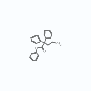 O=C(Oc1ccccc1)C(CCP)(c1ccccc1)c1ccccc1